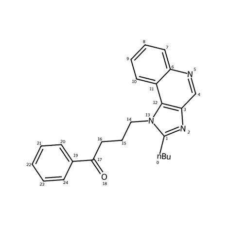 CCCCc1nc2cnc3ccccc3c2n1CCCC(=O)c1ccccc1